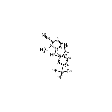 Cc1c(C#N)cccc1Nc1cc(C(F)(F)F)ccc1C#N